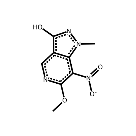 COc1ncc2c(O)nn(C)c2c1[N+](=O)[O-]